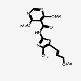 COC/C=C/c1sc(NC(=O)c2c(OC)ncnc2OC)nc1C(F)(F)F